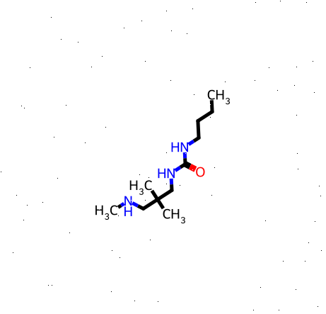 CCCCNC(=O)NCC(C)(C)CNC